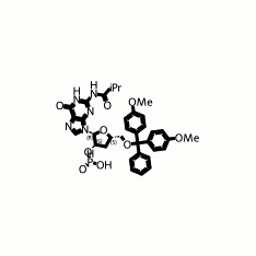 COc1ccc(C(OC[C@@H]2C[C@H](O[PH](=O)O)[C@H](n3cnc4c(=O)[nH]c(NC(=O)C(C)C)nc43)O2)(c2ccccc2)c2ccc(OC)cc2)cc1